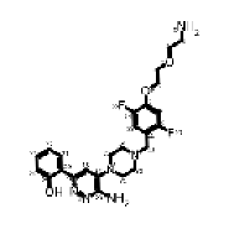 NCCOCCOc1cc(F)c(CN2CCN(c3cc(-c4ccccc4O)nnc3N)CC2)cc1F